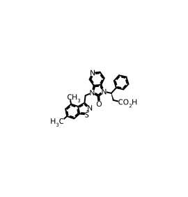 Cc1cc(C)c2c(Cn3c(=O)n([C@H](CC(=O)O)c4ccccc4)c4ccncc43)nsc2c1